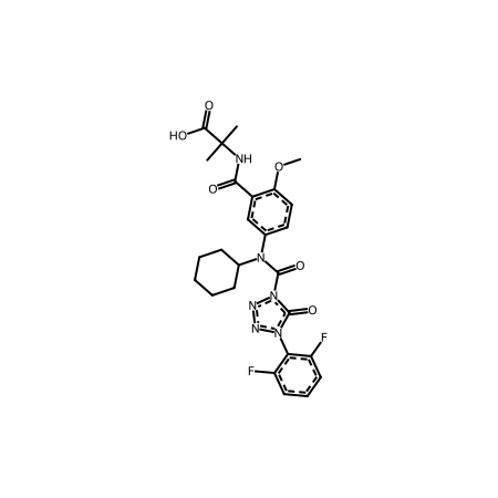 COc1ccc(N(C(=O)n2nnn(-c3c(F)cccc3F)c2=O)C2CCCCC2)cc1C(=O)NC(C)(C)C(=O)O